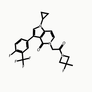 CC1(F)CN(C(=O)Cn2ccc3c(c(-c4ccc(F)c(C(F)(F)F)c4)cn3C3CC3)c2=O)C1